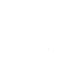 NC1(CO)OO1